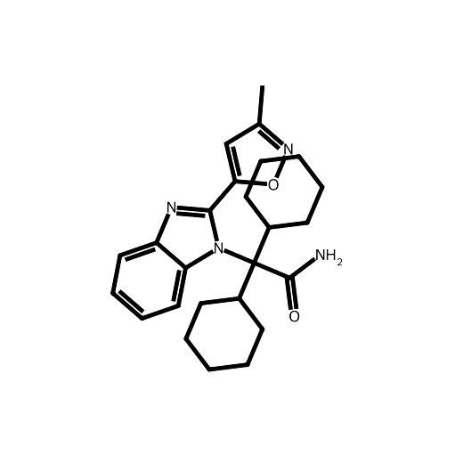 Cc1cc(-c2nc3ccccc3n2C(C(N)=O)(C2CCCCC2)C2CCCCC2)on1